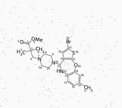 COC(=O)C(C)(C)CN1CCN(C2Nc3ccc(C)cc3Oc3sc(Br)cc32)CC1